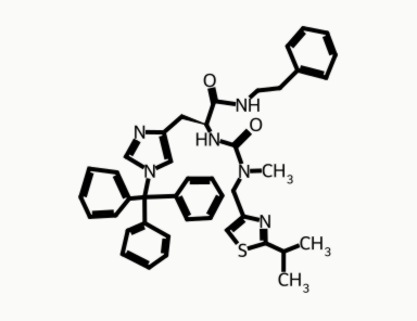 CC(C)c1nc(CN(C)C(=O)N[C@@H](Cc2cn(C(c3ccccc3)(c3ccccc3)c3ccccc3)cn2)C(=O)NCCc2ccccc2)cs1